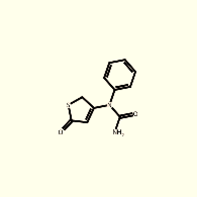 NC(=O)N(C1=CC(=O)SC1)c1ccccc1